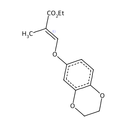 CCOC(=O)/C(C)=C/Oc1ccc2c(c1)OCCO2